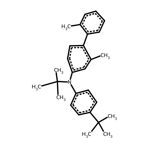 Cc1ccccc1-c1ccc(N(c2ccc(C(C)(C)C)cc2)C(C)(C)C)cc1C